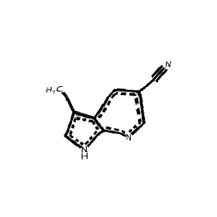 Cc1c[nH]c2ncc(C#N)cc12